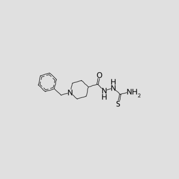 NC(=S)NNC(=O)C1CCN(Cc2ccccc2)CC1